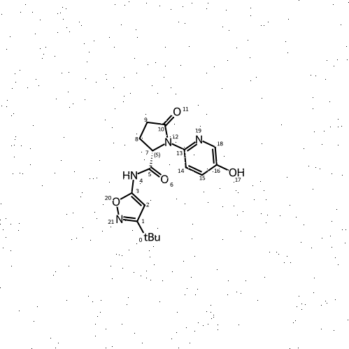 CC(C)(C)c1cc(NC(=O)[C@@H]2CCC(=O)N2c2ccc(O)cn2)on1